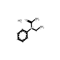 Cl.NCN(C(N)=O)c1ccccc1